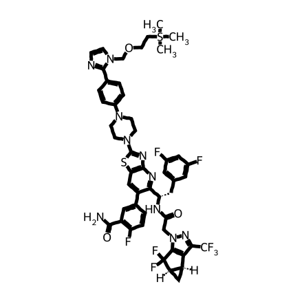 CS(C)(C)CCOCn1ccnc1-c1ccc(N2CCN(c3nc4nc([C@H](Cc5cc(F)cc(F)c5)NC(=O)Cn5nc(C(F)(F)F)c6c5C(F)(F)[C@@H]5C[C@H]65)c(-c5ccc(F)c(C(N)=O)c5)cc4s3)CC2)cc1